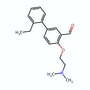 CCc1ccccc1-c1ccc(OCCN(C)C)c(C=O)c1